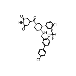 Cl.O=C1CC(C(=O)N2CC[C@H](NCc3cc(-c4ccc(Cl)cc4)ccc3OC(F)(F)F)[C@H](c3ccccc3)C2)CC(=O)N1